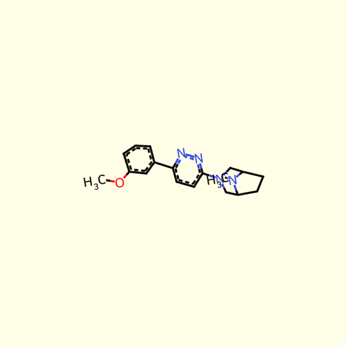 COc1cccc(-c2ccc(N3CC4CCC(C3)N4C)nn2)c1